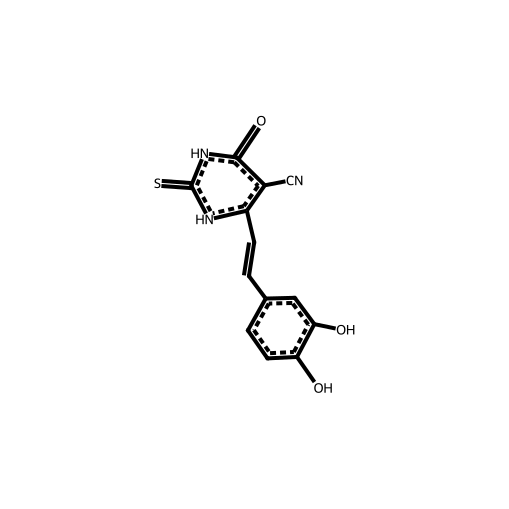 N#Cc1c(/C=C/c2ccc(O)c(O)c2)[nH]c(=S)[nH]c1=O